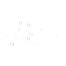 CN(C)/C=N\c1c([C@]2(F)CC2(F)F)c(C#N)nn1-c1c(Cl)cc(C(F)(F)F)cc1Cl